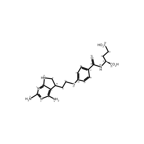 Nc1nc(N)c2c(n1)NCC2CCSc1ccc(C(=O)N[C@@H](CCC(=O)O)C(=O)O)cc1